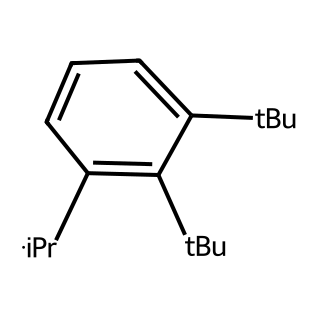 C[C](C)c1cccc(C(C)(C)C)c1C(C)(C)C